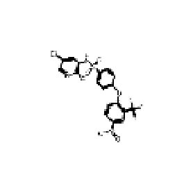 O=[N+]([O-])c1ccc(Oc2ccc(S(=O)(=O)Nc3cc(Cl)cnc3Cl)cc2)c(C(F)(F)F)c1